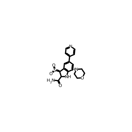 C1COCCN1.NC(=O)C1Nc2ccc(-c3ccncc3)cc2C1=S(=O)=O